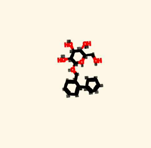 OC[C@H]1O[C@H](OCc2ccccc2-c2ccccc2)[C@@H](O)[C@@H](O)[C@@H]1O